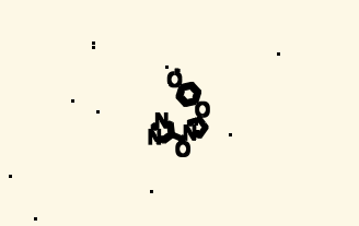 COc1ccc(OC2CCN(C(=O)c3cncnc3)C2)cc1